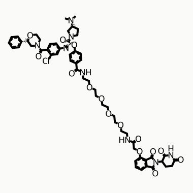 CN(C)[C@H]1CCN(S(=O)(=Nc2ccc(C(=O)N3CCO[C@@H](c4ccccc4)C3)c(Cl)c2)Oc2ccc(C(=O)NCCOCCOCCOCCOCCNC(=O)COc3cccc4c3C(=O)N(C3CCC(=O)NC3=O)C4=O)cc2)C1